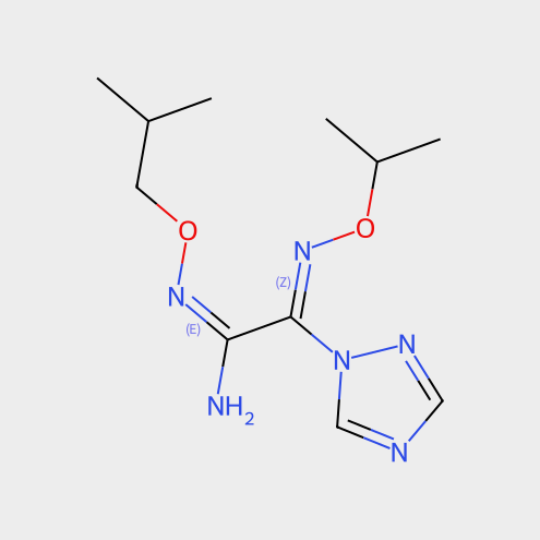 CC(C)CO/N=C(N)\C(=N\OC(C)C)n1cncn1